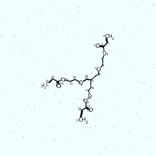 C=CC(=O)OCCOCC(CCOOC(=O)C=C)COCCOC(=O)C=C